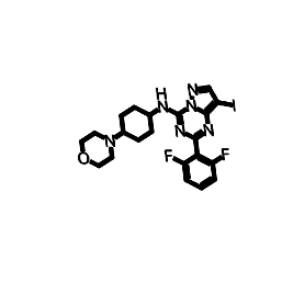 Fc1cccc(F)c1-c1nc(NC2CCC(N3CCOCC3)CC2)n2ncc(I)c2n1